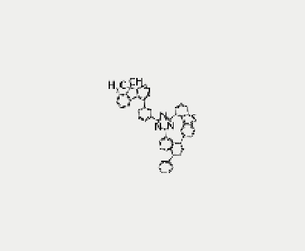 CC1(C)c2ccccc2-c2c(-c3cccc(-c4nc(-c5ccccc5)nc(-c5cccc6sc7ccc(-c8ccc(-c9ccccc9)cc8)cc7c56)n4)c3)cccc21